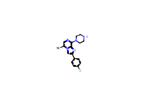 N#Cc1cnc(N2CCNCC2)c2nc(-c3ccc(Cl)cc3)cn12